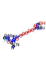 COc1cccc(F)c1-c1nccc(C(=O)Nc2ccc(-c3cnccc3C#N)cc2N2CCN(CC(=O)NCCOCCOCCOCCOCCOCCC(=O)N[C@H](C(=O)N3CC[C@@H](O)C3)C(C)(C)C)CC2)n1